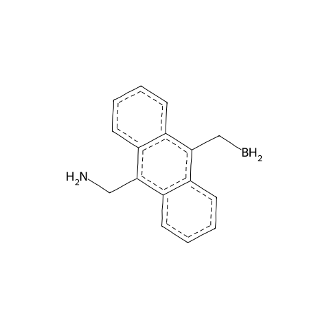 BCc1c2ccccc2c(CN)c2ccccc12